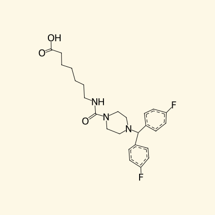 O=C(O)CCCCCCNC(=O)N1CCN(C(c2ccc(F)cc2)c2ccc(F)cc2)CC1